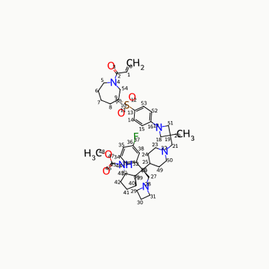 C=CC(=O)N1CCCC[C@@H](S(=O)(=O)c2ccc(N3CC(C)(CN4CCC([C@@](CN5CCC5)(c5cccc(F)c5)[C@H]5CCC[C@@H]5NC(=O)OC)CC4)C3)cc2)C1